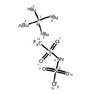 CCCC[PH](CCCC)(CCCC)CCCC.O=S(=O)(NS(=O)(=O)C(F)(F)F)C(F)(F)F